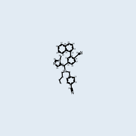 CCCCN(Cc1ccc(C#N)cc1)C(c1ccc(C#N)c(-c2cccc3ccccc23)c1)c1cncn1C